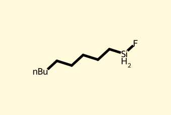 CCCCCCCCC[SiH2]F